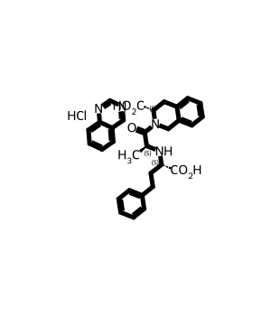 C[C@H](N[C@@H](CCc1ccccc1)C(=O)O)C(=O)N1Cc2ccccc2C[C@H]1C(=O)O.Cl.c1ccc2ncncc2c1